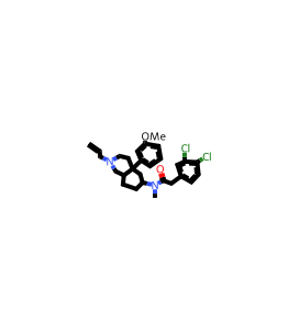 C=CCN1CCC2(c3cccc(OC)c3)CC(N(C)C(=O)Cc3ccc(Cl)c(Cl)c3)CCC2C1